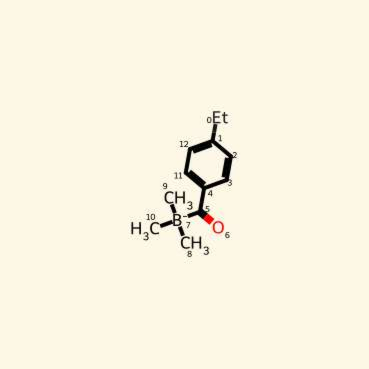 CCc1ccc(C(=O)[B-](C)(C)C)cc1